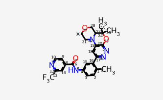 Cc1ccc(NC(=O)c2ccnc(C(F)(F)F)c2)cc1-c1cc2c(nn1)OC(C)(C)C1COCCN21